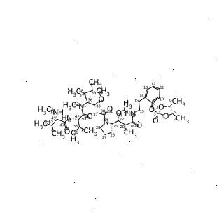 CCOP(=O)(OCC)Oc1ccccc1CCNC(=O)[C@H](C)[C@@H](OC)[C@@H]1CCCN1C(=O)C[C@@H](OC)[C@H](C(C)CC)N(C)C(=O)[C@@H](NC(=O)[C@@H](NC)C(C)C)C(C)C